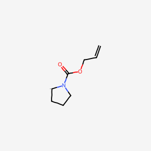 C=CCOC(=O)N1[CH]CCC1